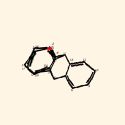 c1ccc2c(c1)C1c3ccccc3C2c2ncccc21